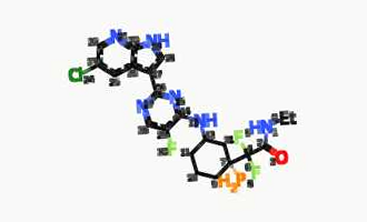 CCNC(=O)C(F)(F)[C@@]1(P)CCCC(Nc2nc(-c3c[nH]c4ncc(Cl)cc34)ncc2F)C1